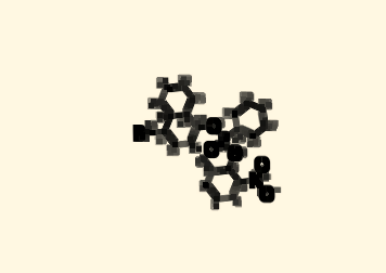 Cc1cccc([N+](=O)[O-])c1O[P@@](=O)(Oc1ccc(Br)c2ccccc12)c1ccccc1